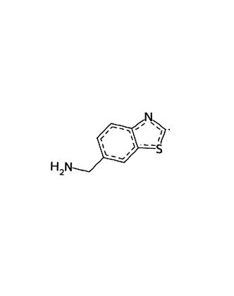 NCc1ccc2n[c]sc2c1